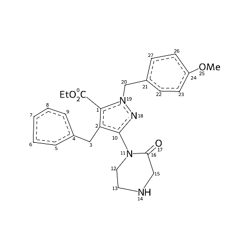 CCOC(=O)c1c(Cc2ccccc2)c(N2CCNCC2=O)nn1Cc1ccc(OC)cc1